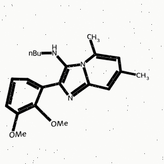 CCCCNc1c(-c2cccc(OC)c2OC)nc2cc(C)cc(C)n12